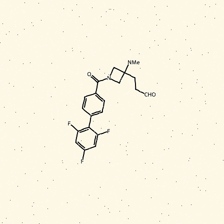 CNC1(CCC=O)CN(C(=O)c2ccc(-c3c(F)cc(F)cc3F)cc2)C1